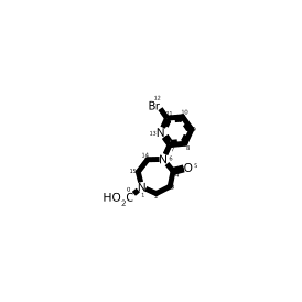 O=C(O)N1CCC(=O)N(c2cccc(Br)n2)CC1